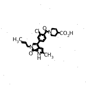 CC=CCn1cc(-c2ccc(C(=O)N3CCC(C(=O)O)CC3)c(Cl)c2)c2cc(C)[nH]c2c1=O